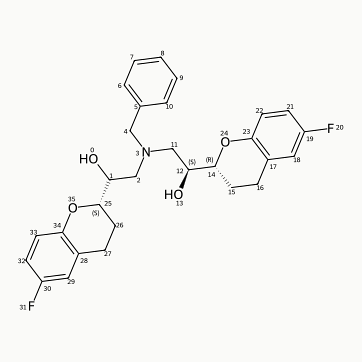 OC(CN(Cc1ccccc1)C[C@H](O)[C@H]1CCc2cc(F)ccc2O1)[C@@H]1CCc2cc(F)ccc2O1